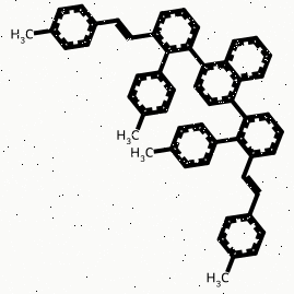 Cc1ccc(/C=C/c2cccc(-c3ccc(-c4cccc(/C=C/c5ccc(C)cc5)c4-c4ccc(C)cc4)c4ccccc34)c2-c2ccc(C)cc2)cc1